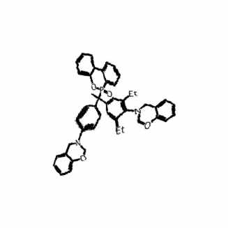 CCc1cc(C(C)(c2ccc(N3COc4ccccc4C3)cc2)P2(=O)Oc3ccccc3-c3ccccc32)cc(CC)c1N1COc2ccccc2C1